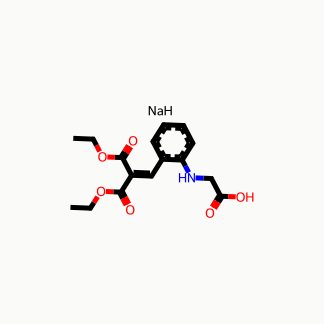 CCOC(=O)C(=Cc1ccccc1NCC(=O)O)C(=O)OCC.[NaH]